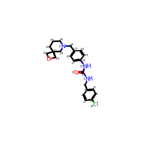 O=C(NCc1ccc(Cl)cc1)Nc1ccc(CN2CCCC3(COC3)C2)cc1